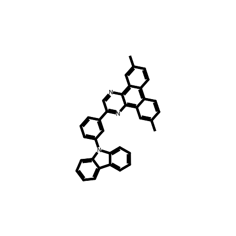 Cc1ccc2c3ccc(C)cc3c3nc(-c4cccc(-n5c6ccccc6c6ccccc65)c4)cnc3c2c1